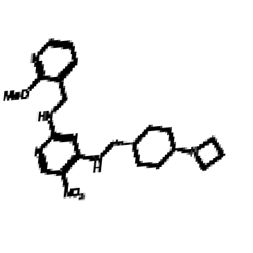 COc1ncccc1CNc1ncc([N+](=O)[O-])c(NC[C@H]2CC[C@H](N3CCC3)CC2)n1